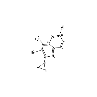 FC(F)(F)c1c(Br)c(C2CC2)nc2ccc(Cl)cc12